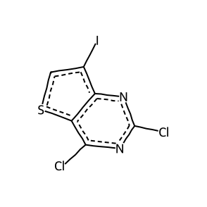 Clc1nc(Cl)c2scc(I)c2n1